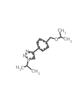 CC(C)OCc1ccc(-c2cn(C(C)C)nn2)cc1